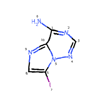 Nc1ncnn2c(I)cnc12